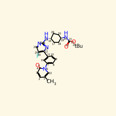 Cc1ccc(=O)n(-c2cccc(-c3nc(N[C@H]4CC[C@H](NC(=O)OC(C)(C)C)CC4)ncc3F)c2)c1